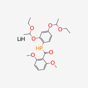 CCOC(C)Oc1ccc(PC(=O)c2c(OC)cccc2OC)c(OC(C)OCC)c1.[LiH]